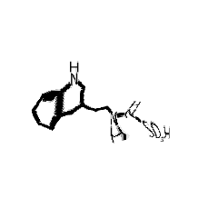 O=S(=O)(O)NNCCc1c[nH]c2ccccc12